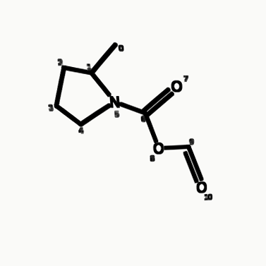 CC1CCCN1C(=O)OC=O